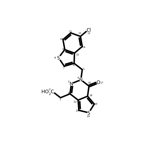 O=C(O)Cc1nn(Cc2csc3ccc(Cl)cc23)c(=O)c2cscc12